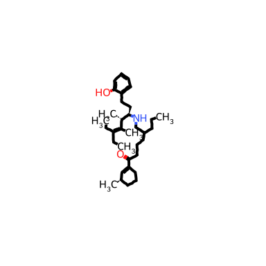 CCCC(CCCC(=O)C1=C[C@@H](C)CCC1)CN[C@H](CCc1ccccc1O)[C@@H](C)C(C)=C(CC)CC